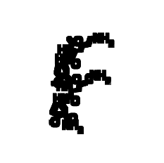 COc1ccc(NC(=O)[C@H](CCCCN)NC(=O)c2cc(NC(=O)[C@H](CCCCN)NC(C)=O)ccc2OC)cc1C(N)=O